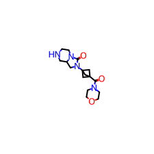 O=C1N2CCNCC2CN1C12CC(C(=O)N3CCOCC3)(C1)C2